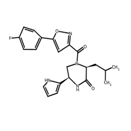 CC(C)C[C@H]1C(=O)N[C@@H](c2ccc[nH]2)CN1C(=O)c1cc(-c2ccc(F)cc2)on1